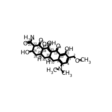 COCc1cc(N(C)C)c2c(c1O)C(=O)C1=C(O)[C@]3(O)C(=O)C(C(N)=O)C(O)C[C@@H]3C[C@@H]1C2